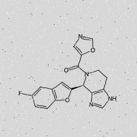 O=C(c1cnco1)N1CCc2[nH]cnc2[C@H]1c1cc2cc(F)ccc2o1